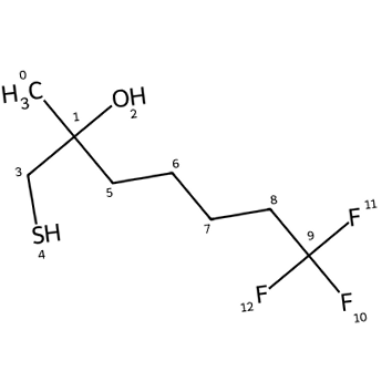 CC(O)(CS)CCCCC(F)(F)F